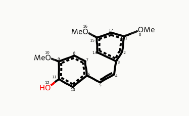 COc1cc(/C=C\c2ccc(OC)c(O)c2)cc(OC)c1